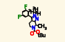 [2H]C([2H])([2H])n1nc2c(c1-c1cc(F)cc(F)c1)CCN(C(=O)OC(C)(C)C)C2C